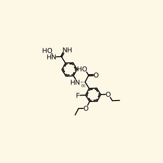 CCOc1cc(OCC)c(F)c([C@H](Nc2ccc(C(=N)NO)cc2)C(=O)O)c1